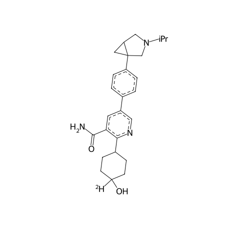 [2H]C1(O)CCC(c2ncc(-c3ccc(C45CC4CN(C(C)C)C5)cc3)cc2C(N)=O)CC1